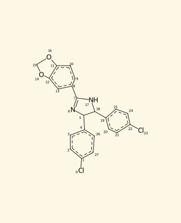 Clc1ccc(C2N=C(c3ccc4c(c3)OCO4)NC2c2ccc(Cl)cc2)cc1